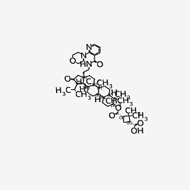 CC(C)C1=C2[C@H]3CC[C@@H]4[C@@]5(C)CC[C@H](OC(=O)[C@H]6C[C@@H](C(=O)O)C6(C)C)C(C)(C)[C@@H]5CC[C@@]4(C)[C@]3(C)CC[C@@]2(CCNC(=O)c2cccnc2N2CCOCC2)CC1=O